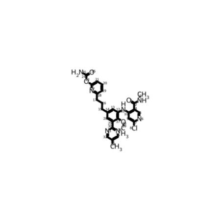 CNC(=O)c1cnc(Cl)cc1Nc1cc(CCCc2cccc(OC(N)=O)n2)cc(-c2ncc(C)cn2)c1OC